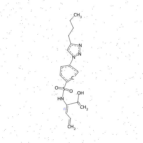 C=C/C=C(/NS(=O)(=O)c1ccc(-n2cc(CCCC)nn2)cc1)C(=C)O